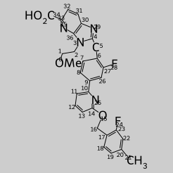 COCCn1c(Cc2ccc(-c3cccc(OCc4ccc(C)cc4F)n3)cc2F)nc2ccc(C(=O)O)nc21